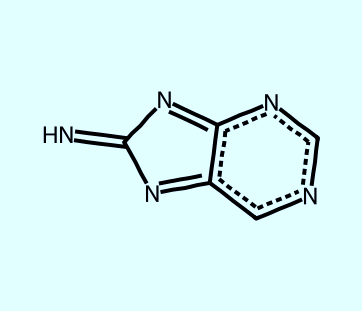 N=C1N=c2cncnc2=N1